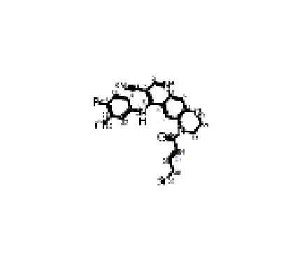 N#Cc1cnc2cc3c(cc2c1Nc1ccc(F)c(Cl)c1)N(C(=O)/C=C/CBr)CCO3